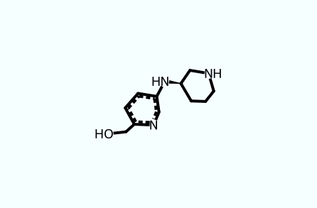 OCc1ccc(N[C@@H]2CCCNC2)cn1